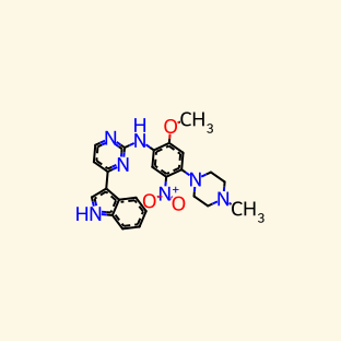 COc1cc(N2CCN(C)CC2)c([N+](=O)[O-])cc1Nc1nccc(-c2c[nH]c3ccccc23)n1